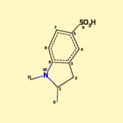 CC1Cc2cc(S(=O)(=O)O)ccc2N1C